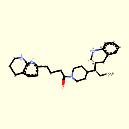 O=C(O)C[C@@H](C1CCN(C(=O)CCCc2ccc3c(n2)NCCC3)CC1)[C@@H]1CNc2ccccc2C1